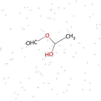 CC(O)O[C]=O